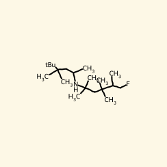 CC(CC(C)(C)C(C)(C)C)NC(C)(C)CC(C)(C)C(C)CF